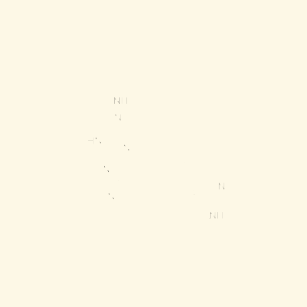 CNc1nc(C)c(-c2cccc(-c3cc4nc(C)cn4c(Nc4cc(C)[nH]n4)n3)c2)s1